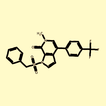 Cn1cc(-c2ccc(C(F)(F)F)cc2)c2ccn(S(=O)(=O)Cc3ccccc3)c2c1=O